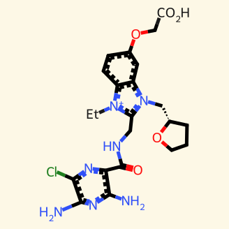 CC[n+]1c(CNC(=O)c2nc(Cl)c(N)nc2N)n(C[C@@H]2CCCO2)c2cc(OCC(=O)O)ccc21